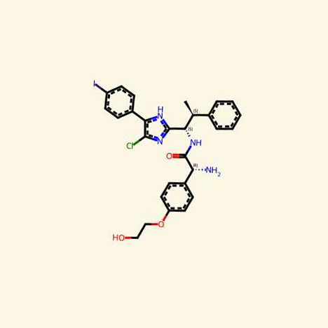 C[C@@H](c1ccccc1)[C@H](NC(=O)[C@H](N)c1ccc(OCCO)cc1)c1nc(Cl)c(-c2ccc(I)cc2)[nH]1